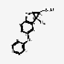 CCOC(=O)[C@@H]1C2Oc3ccc(Oc4ccncc4)cc3[C@H]21